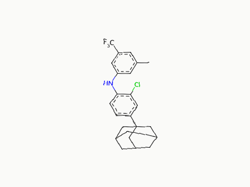 Cc1cc(Nc2ccc(C34CC5CC(CC(C5)C3)C4)cc2Cl)cc(C(F)(F)F)c1